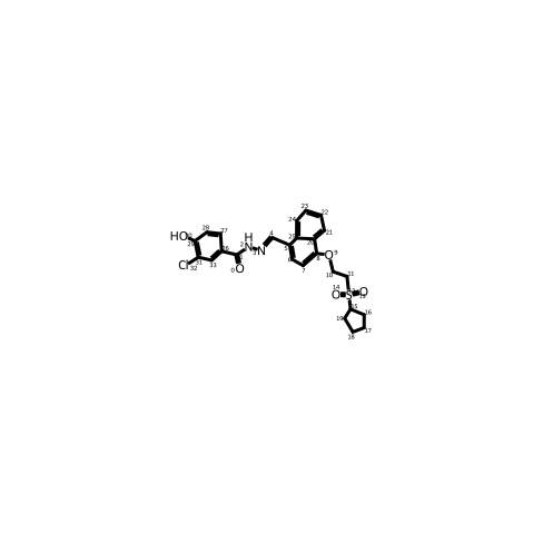 O=C(N/N=C/c1ccc(OCCS(=O)(=O)C2CCCC2)c2ccccc12)c1ccc(O)c(Cl)c1